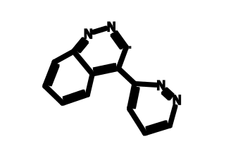 [c]1nnc2ccccc2c1-c1cccnn1